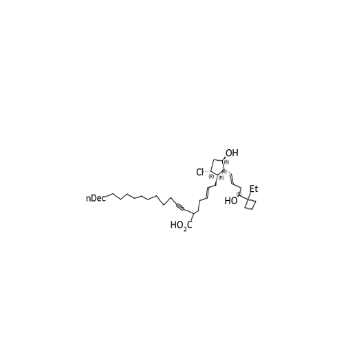 CCCCCCCCCCCCCCCCCCCC#CC(CCC=CC[C@@H]1[C@@H](C=CC[C@H](O)C2(CC)CCC2)[C@H](O)C[C@H]1Cl)C(=O)O